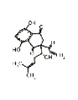 C=CC(=O)C1([C@H](O)CC=C(C)C)CC(=O)c2c(O)ccc(O)c2C1=O